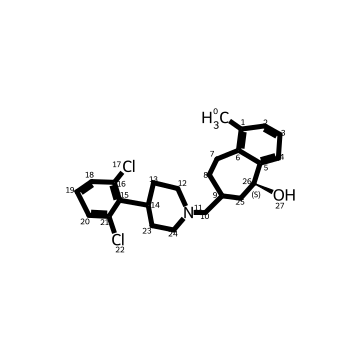 Cc1cccc2c1CCC(CN1CCC(c3c(Cl)cccc3Cl)CC1)C[C@@H]2O